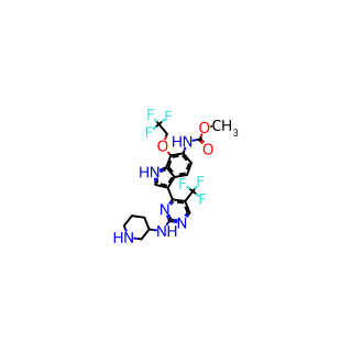 COC(=O)Nc1ccc2c(-c3nc(NC4CCCNC4)ncc3C(F)(F)F)c[nH]c2c1OCC(F)(F)F